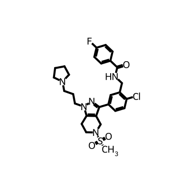 CS(=O)(=O)N1CCc2c(c(-c3ccc(Cl)c(CNC(=O)c4ccc(F)cc4)c3)nn2CCCN2CCCC2)C1